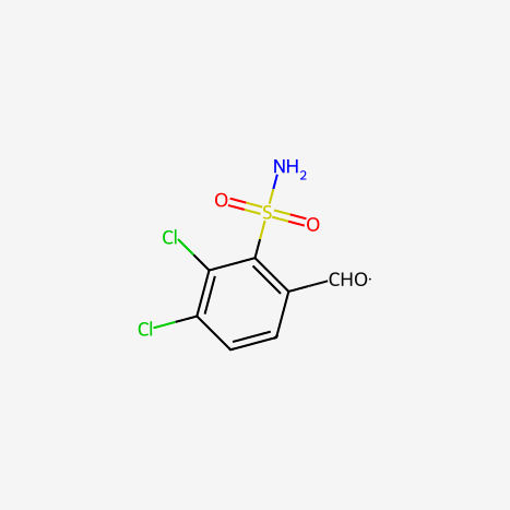 NS(=O)(=O)c1c([C]=O)ccc(Cl)c1Cl